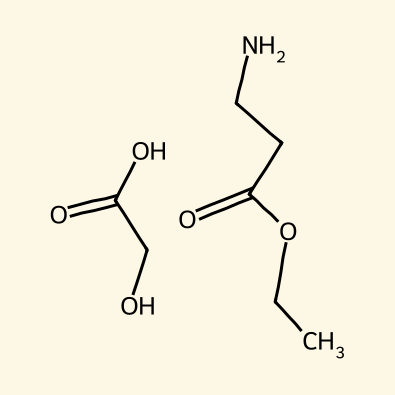 CCOC(=O)CCN.O=C(O)CO